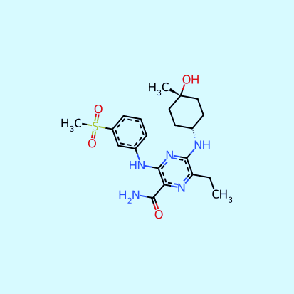 CCc1nc(C(N)=O)c(Nc2cccc(S(C)(=O)=O)c2)nc1N[C@H]1CC[C@@](C)(O)CC1